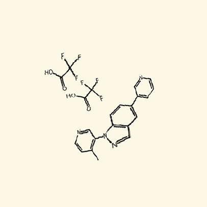 Cc1ccncc1-n1ncc2cc(-c3cccnc3)ccc21.O=C(O)C(F)(F)F.O=C(O)C(F)(F)F